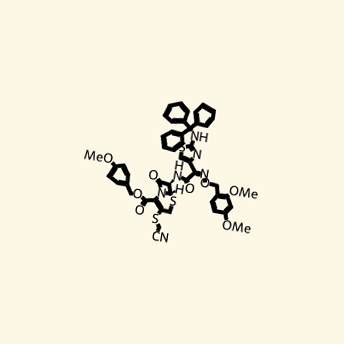 COc1ccc(COC(=O)C2=C(SCC#N)CS[C@H]3[C@H](NC(=O)/C(=N\OCc4ccc(OC)cc4OC)c4csc(NC(c5ccccc5)(c5ccccc5)c5ccccc5)n4)C(=O)N23)cc1